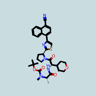 C[C@@H](C(=O)N[C@H](C(=O)N1CCC[C@H]1c1nc(-c2ccc(C#N)c3ccccc23)cs1)C1CCOCC1)N(C)C(=O)OC(C)(C)C